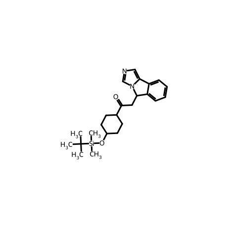 CC(C)(C)[Si](C)(C)OC1CCC(C(=O)CC2c3ccccc3-c3cncn32)CC1